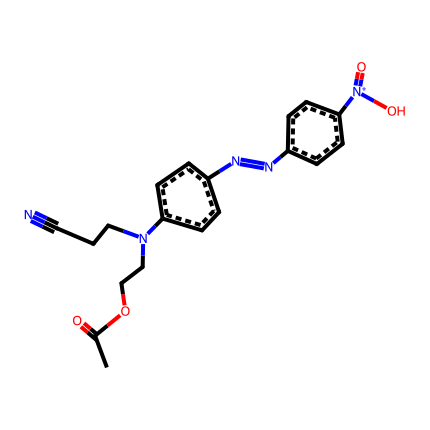 CC(=O)OCCN(CCC#N)c1ccc(/N=N/c2ccc([N+](=O)O)cc2)cc1